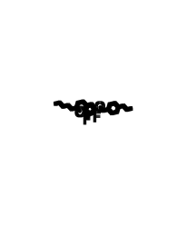 CCCCCC1CCc2cc(OCC3CCC(CCC)CC3)c(F)c(F)c2O1